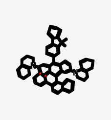 CC1(C)c2ccccc2-c2ccc(-c3c4cc(N5CCCC6=C5CCC=C6)ccc4c(-c4c(C5=CC=CCC5)ccc5ccccc45)c4cc(N5CCCC6=C5C=CCC6)ccc34)cc21